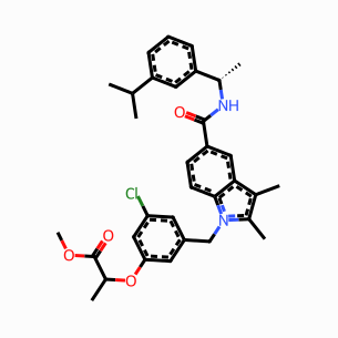 COC(=O)C(C)Oc1cc(Cl)cc(Cn2c(C)c(C)c3cc(C(=O)N[C@@H](C)c4cccc(C(C)C)c4)ccc32)c1